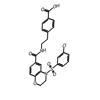 O=C(O)c1ccc(CCNC(=O)c2ccc3c(c2)N(S(=O)(=O)c2cccc(Cl)c2)CCO3)cc1